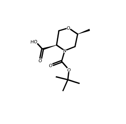 C[C@H]1CN(C(=O)OC(C)(C)C)[C@@H](C(=O)O)CO1